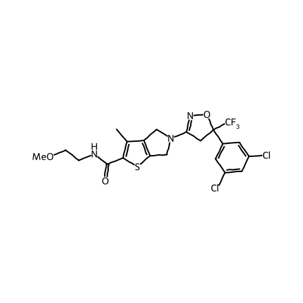 COCCNC(=O)c1sc2c(c1C)CN(C1=NOC(c3cc(Cl)cc(Cl)c3)(C(F)(F)F)C1)C2